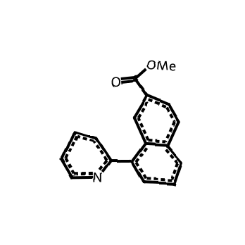 COC(=O)c1ccc2cccc(-c3ccccn3)c2c1